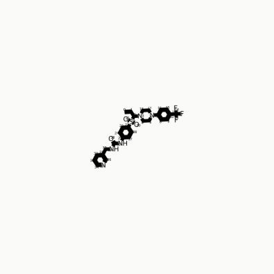 C=CC(N1CCN(c2ccc(C(F)(F)F)cc2)CC1)S(=O)(=O)c1ccc(NC(=O)NCc2cccnc2)cc1